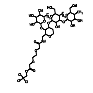 CC1OC(OC2C(CNC(=O)COCCOCC(=O)OCC(Cl)(Cl)Cl)OCCC2OC2OC(CO)C(C)C(OC3OC(CO)C(C)C(O)C3O)C2O)C(O)C(O)C1O